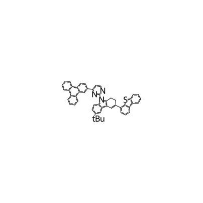 CC(C)(C)c1ccc2c(c1)c1c(n2-c2nccc(-c3ccc4c5ccccc5c5ccccc5c4c3)n2)CCC(c2cccc3c2sc2ccccc23)=C1